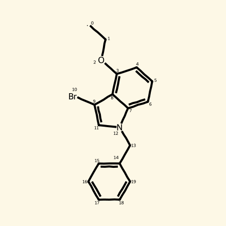 [CH2]COc1cccc2c1c(Br)cn2Cc1ccccc1